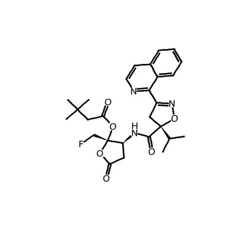 CC(C)[C@@]1(C(=O)N[C@H]2CC(=O)O[C@]2(CF)OC(=O)CC(C)(C)C)CC(c2nccc3ccccc23)=NO1